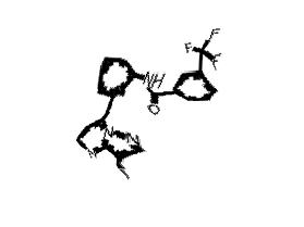 O=C(Nc1cccc(-c2ccnc3c(I)cnn23)c1)c1cccc(C(F)(F)F)c1